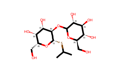 CC(C)S[C@@H]1O[C@H](CO)[C@H](O)[C@H](O)[C@H]1OC1O[C@H](CO)[C@@H](O)[C@H](O)[C@H]1O